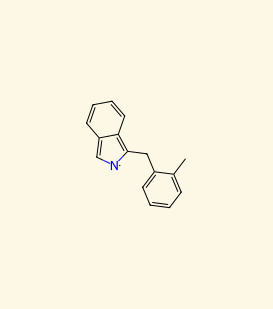 Cc1ccccc1CC1=c2ccccc2=C[N]1